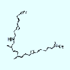 CCN(C)CCCCCOCCCC(C)CCC(C)CNCCOCCCC(C)C